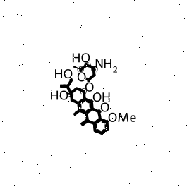 C=C1c2cccc(OC)c2C(=O)c2c(O)c3c(c(C)c21)C[C@@](O)(C(=C)CO)C[C@@H]3OC1C[C@H](N)[C@H](O)[C@H](C)O1